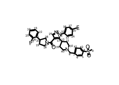 CS(=O)(=O)c1ccc(CN2CCC(c3c(C(=O)N4CCC(c5ccccc5F)C4)cnn3-c3ccc(F)cc3)CC2)cc1